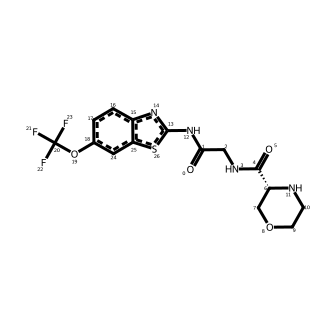 O=C(CNC(=O)[C@H]1COCCN1)Nc1nc2ccc(OC(F)(F)F)cc2s1